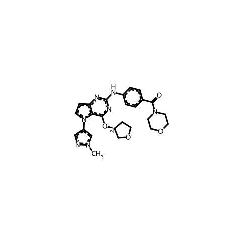 Cn1cc(-n2ccc3nc(Nc4ccc(C(=O)N5CCOCC5)cc4)nc(O[C@H]4CCOC4)c32)cn1